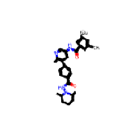 Cc1ncc(NC(=O)c2cc(C#N)cc(C(C)(C)C)c2)cc1-c1ccc(C(=O)NN2C(C)CCCC2C)cc1